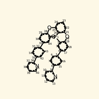 O=P12c3cc(-c4ccc(-c5ccccn5)cc4)ccc3Oc3cccc(c31)Oc1ccc(-c3ccc(-c4ccccn4)cc3)cc12